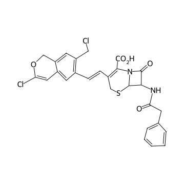 O=C(Cc1ccccc1)NC1C(=O)N2C(C(=O)O)=C(/C=C/c3cc4c(cc3CCl)COC(Cl)=C4)CSC12